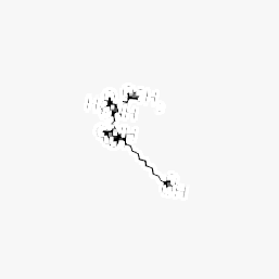 CCC(=O)CC[C@H](NC(=O)CC[C@H](NC(=O)CCCCCCCCCCCCC(=O)O)C(=O)O)C(=O)O